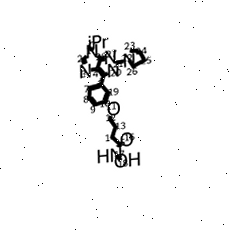 CC(C)n1cnc2c(-c3cccc(OCCCC(=O)NO)c3)nc(N3CCCC3)nc21